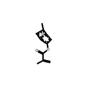 C=C(C)C(=O)Oc1cc2oc1cc2C